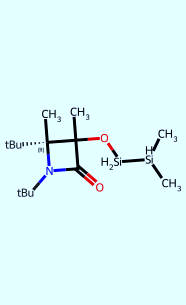 C[SiH](C)[SiH2]OC1(C)C(=O)N(C(C)(C)C)[C@]1(C)C(C)(C)C